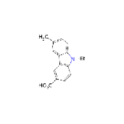 CCn1c2ccc(C)cc2c2cc(C(=O)O)ccc21